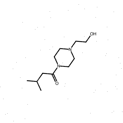 CC(C)CC(=O)N1CCN(CCO)CC1